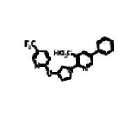 O=C(O)c1cc(-c2ccccc2)cnc1N1CCC(Oc2ccc(C(F)(F)F)cn2)C1